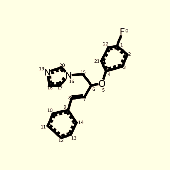 Fc1ccc(OC(/C=C/c2ccccc2)Cn2ccnc2)cc1